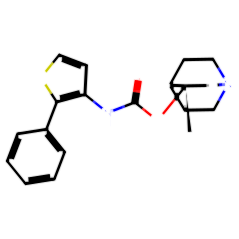 O=C(Nc1ccsc1-c1ccccc1)O[C@H]1CN2CCC1CC2